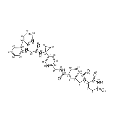 O=C1CCC(N2Cc3cc(C(=O)NCc4ccc(C5(NC(=O)Cn6c7ccccc7c7cccnc76)CC5)cn4)ccc3C2=O)C(=O)N1